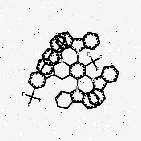 FC(F)(F)c1ccc2c(c1)C(Cc1c(-n3c4c(c5ccccc53)CCC=C4)c(-n3c4ccccc4c4ccccc43)c(C(F)(F)F)c(-n3c4ccccc4c4ccccc43)c1-n1c3ccccc3c3ccccc31)c1cc(C(F)(F)F)ccc1-2